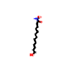 O=C(CCCCCCCCCCCCO)NO